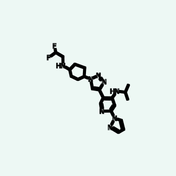 CC(C)Nc1cc(-n2cccn2)ncc1-c1cn(C2CCC(NCC(F)F)CC2)nn1